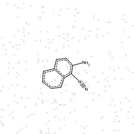 N#[N+]c1c(N)ccc2ccccc12